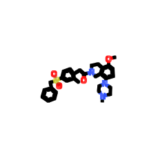 COc1ccc(N2CCN(C)CC2)c2c1CCN(C(=O)Cc1ccc(S(=O)(=O)Cc3ccccc3)cc1C)C2